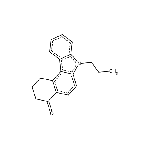 CCCn1c2ccccc2c2c3c(ccc21)C(=O)CCC3